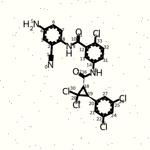 N#Cc1cc(N)ccc1NC(=O)c1cc(NC(=O)[C@@H]2[C@@H](c3cc(Cl)cc(Cl)c3)C2(Cl)Cl)ccc1Cl